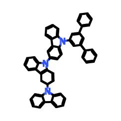 C1=CC(n2c3ccccc3c3ccccc32)Cc2c1n(-c1ccc3c(c1)c1ccccc1n3-c1cc(-c3ccccc3)cc(-c3ccccc3)c1)c1ccccc21